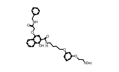 CCCCCCCCCCCCOc1cccc(OCCCCNC(=O)c2cc(OCC(=O)NCc3ccccc3)c3ccccc3c2O)c1